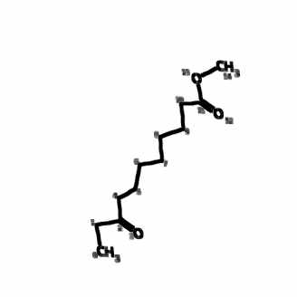 CCC(=O)CCCCCCCC(=O)OC